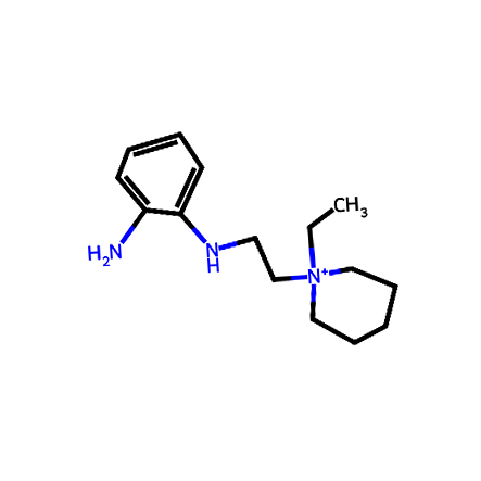 CC[N+]1(CCNc2ccccc2N)CCCCC1